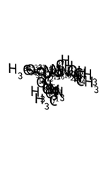 CCc1ncc(CN(C)C(=O)c2cc(-c3ccc(NCC(O)CN(C)C)c(C)n3)nc3ccc(COC)cc23)n1C